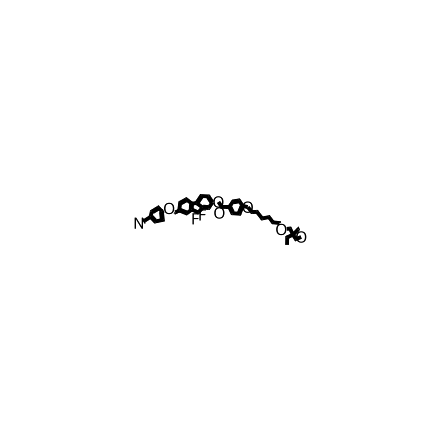 CCC1(COCCCCCCOc2ccc(C(=O)Oc3ccc4c(c3)C(F)(F)c3cc(COc5ccc(C#N)cc5)ccc3-4)cc2)COC1